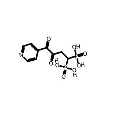 O=C(CC(P(=O)(O)O)P(=O)(O)O)C(=O)c1ccncc1